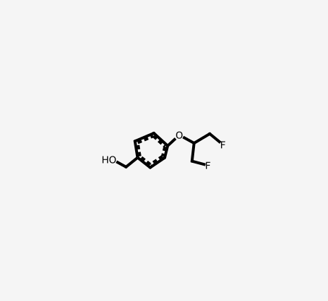 OCc1ccc(OC(CF)CF)cc1